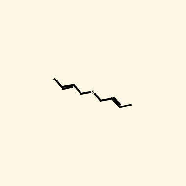 C/C=C/CSC/C=C/C